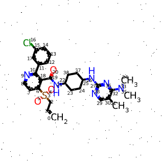 C=CCS(=O)(=O)c1ccnc(-c2cccc(Cl)c2)c1C(=O)NC1CCC(Nc2ncc(C)c(N(C)C)n2)CC1